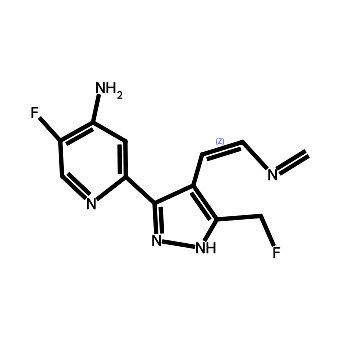 C=N/C=C\c1c(-c2cc(N)c(F)cn2)n[nH]c1CF